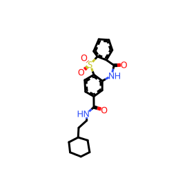 O=C(NCCC1CCCCC1)c1ccc2c(c1)NC(=O)c1ccccc1S2(=O)=O